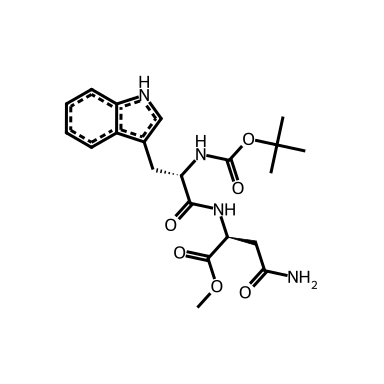 COC(=O)[C@H](CC(N)=O)NC(=O)[C@H](Cc1c[nH]c2ccccc12)NC(=O)OC(C)(C)C